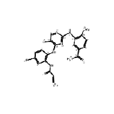 C=CC(=O)Nc1cc(F)ccc1Nc1nc(Nc2cc(C(N)=O)ccc2OC)ncc1Cl